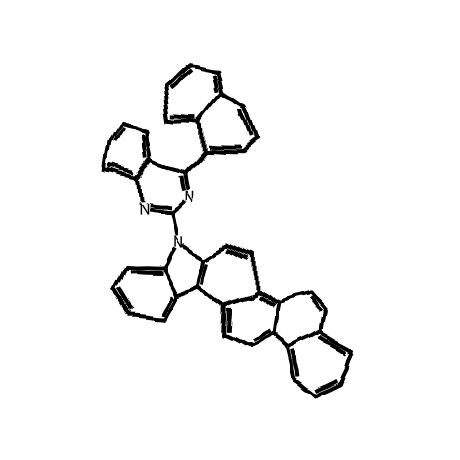 c1ccc2c(-c3nc(-n4c5ccccc5c5c6ccc7c8ccccc8ccc7c6ccc54)nc4ccccc34)cccc2c1